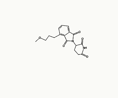 COCCCc1cccc2c1C(=O)N(C1CCC(=O)NC1=O)C2=O